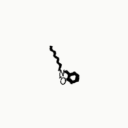 CCCCCCCCN1COc2ccccc2C1